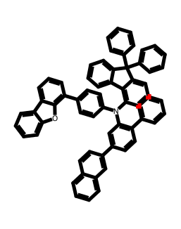 c1ccc(-c2ccc(-c3ccc4ccccc4c3)cc2N(c2ccc(-c3cccc4c3oc3ccccc34)cc2)c2cccc3c2-c2ccccc2C3(c2ccccc2)c2ccccc2)cc1